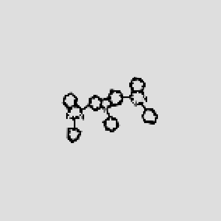 C1=CCC(c2nc(-c3ccc4c5ccc(-c6nc(-c7ccccc7)nc7c6=CCCC=7)cc5n(-c5ccccc5)c4c3)c3ccccc3n2)C=C1